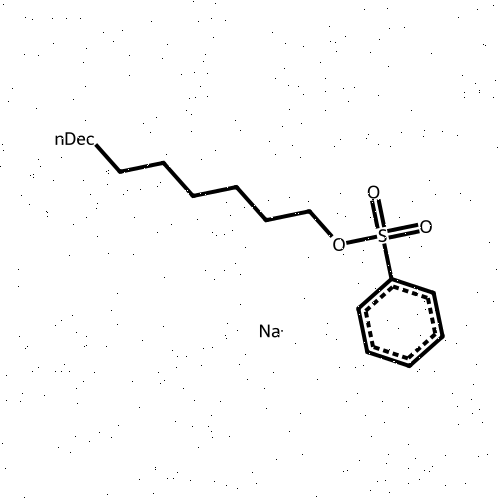 CCCCCCCCCCCCCCCCOS(=O)(=O)c1ccccc1.[Na]